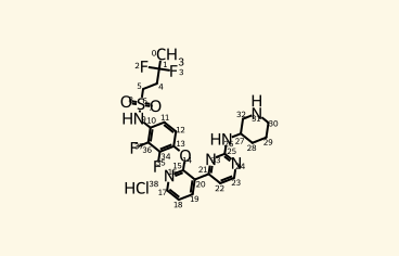 CC(F)(F)CCS(=O)(=O)Nc1ccc(Oc2ncccc2-c2ccnc(NC3CCCNC3)n2)c(F)c1F.Cl